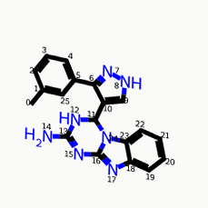 Cc1cccc(-c2n[nH]cc2C2NC(N)=Nc3nc4ccccc4n32)c1